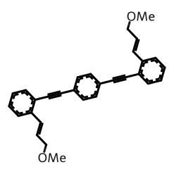 COCC=Cc1ccccc1C#Cc1ccc(C#Cc2ccccc2C=CCOC)cc1